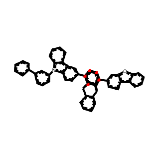 c1ccc(-c2cccc(-n3c4ccccc4c4cc(-c5ccc(-c6ccc7c(c6)oc6ccccc67)c6c5C5c7ccccc7C6c6ccccc65)ccc43)c2)cc1